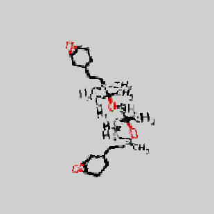 CC(C)(O[Si](C)(C)CCC1CCC2OC2C1)[SiH2]OC(C)(C)[Si](C)(C)CCC1CCC2OC2C1